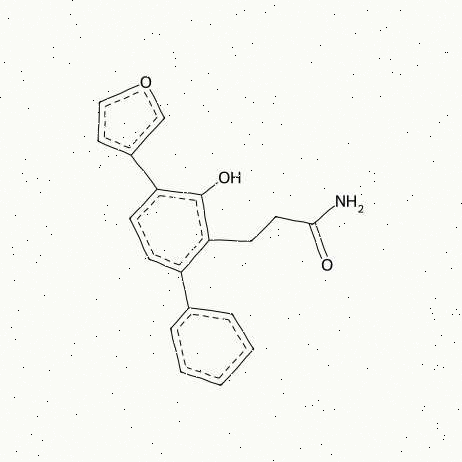 NC(=O)CCc1c(-c2ccccc2)ccc(-c2ccoc2)c1O